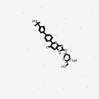 CC(C)(O)c1ccc(-c2ccc(-c3nc4nc(O[C@H]5CO[C@H](CO)[C@@H](O)C5)[nH]c4cc3Cl)cc2)cc1